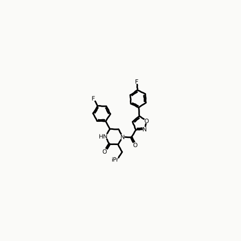 CC(C)CC1C(=O)NC(c2ccc(F)cc2)CN1C(=O)c1cc(-c2ccc(F)cc2)on1